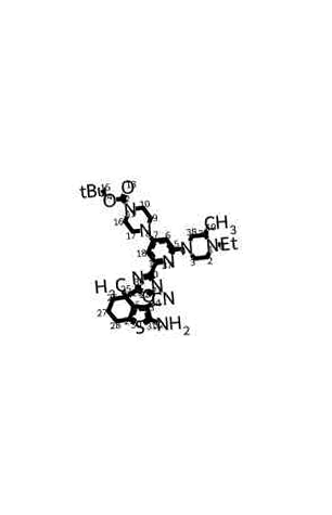 CCN1CCN(c2cc(N3CCN(C(=O)OC(C)(C)C)CC3)cc(-c3noc(C4(C)CCCc5sc(N)c(C#N)c54)n3)n2)CC1C